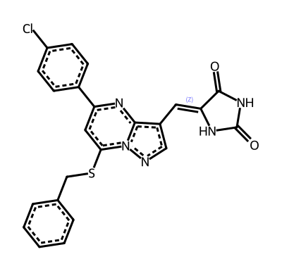 O=C1NC(=O)/C(=C/c2cnn3c(SCc4ccccc4)cc(-c4ccc(Cl)cc4)nc23)N1